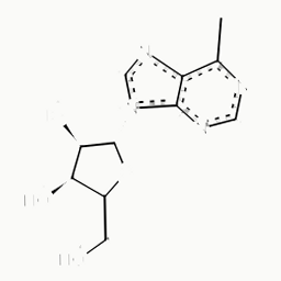 Cc1ncnc2c1ncn2[C@@H]1OC(CO)[C@@H](O)[C@H]1O